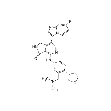 CN(C)Cc1cc(Nc2ncc(-c3cnc4cc(F)ccn34)c3c2C(=O)NC3)ccc1[C@@H]1CCOC1